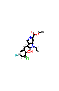 CCOC(=O)c1cc2c(cn1)c(Cc1cc(F)cc(Cl)c1O)cn2CC